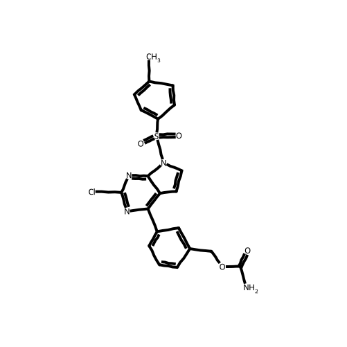 Cc1ccc(S(=O)(=O)n2ccc3c(-c4cccc(COC(N)=O)c4)nc(Cl)nc32)cc1